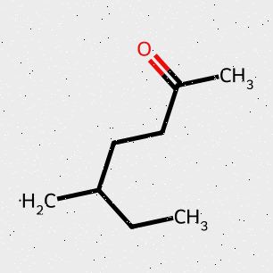 [CH2]C(CC)CCC(C)=O